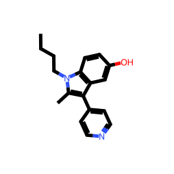 CCCCn1c(C)c(-c2ccncc2)c2cc(O)ccc21